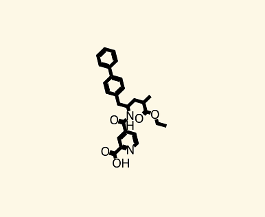 CCOC(=O)C(C)CC(Cc1ccc(-c2ccccc2)cc1)NC(=O)c1ccnc(C(=O)O)c1